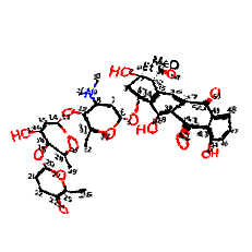 CC[C@@]1(O)C[C@H](O[C@H]2CC(N(C)C)[C@H](O[C@H]3C[C@H](O)[C@H](O[C@H]4CCC(=O)[C@H](C)O4)[C@H](C)O3)[C@H](C)O2)c2c(cc3c(c2O)C(=O)c2c(O)cccc2C3=O)[C@H]1C(=O)OC